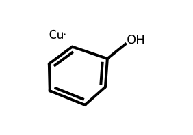 Oc1ccccc1.[Cu]